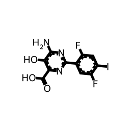 Nc1nc(-c2cc(F)c(I)cc2F)nc(C(=O)O)c1O